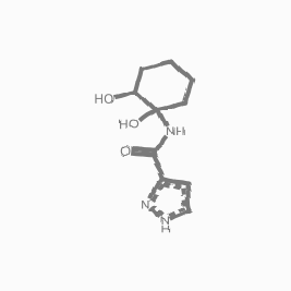 O=C(NC1(O)CCCCC1O)c1cc[nH]n1